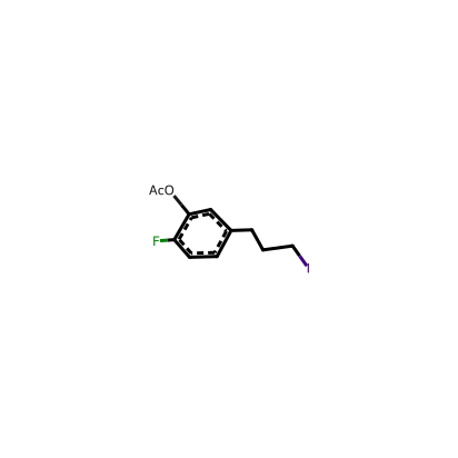 CC(=O)Oc1cc(CCCI)ccc1F